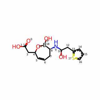 O=C(O)CC1C=CC[C@H](NC(O)Cc2cccs2)B(O)O1